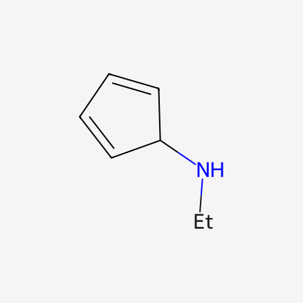 CCNC1C=CC=C1